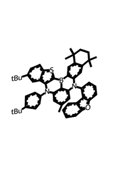 Cc1cc2c3c(c1)N(c1cccc4oc5ccccc5c14)c1cc4c(cc1B3c1sc3ccc(C(C)(C)C)cc3c1N2c1ccc(C(C)(C)C)cc1)C(C)(C)CCC4(C)C